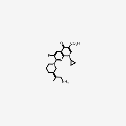 CC(CN)=C1CCCN(c2nc3c(cc2F)c(=O)c(C(=O)O)cn3C2CC2)C1